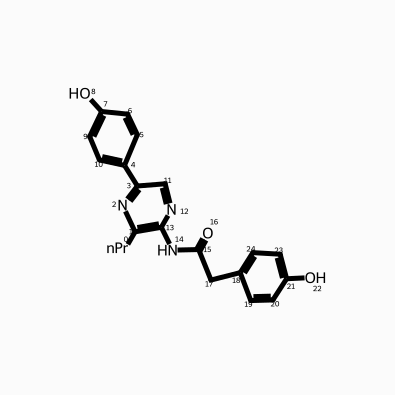 CCCc1nc(-c2ccc(O)cc2)cnc1NC(=O)Cc1ccc(O)cc1